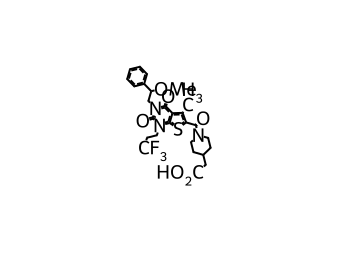 COC(Cn1c(=O)c2c(C)c(C(=O)N3CCC(CC(=O)O)CC3)sc2n(CCC(F)(F)F)c1=O)c1ccccc1